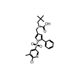 Cc1cc(S(=O)(=O)n2cc(CN(CC(C)(C)C)C(=O)O)cc2-c2ccccc2)cnc1Cl